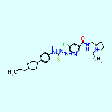 CCCC1CCC(c2ccc(NC(=S)NNc3ncc(C(=O)NC[C@H]4CCCN4CC)cc3Cl)cc2)CC1